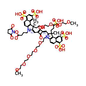 COCCOCCOCCOCCOCC[N+]1=C(/C=C2\C(=O)C(/C=C3/N(CCCC(=O)ON4C(=O)CCC4=O)c4ccc5c(S(=O)(=O)O)cc(S(=O)(=O)O)cc5c4C3(C)CCOCCOCCOCCOC)=C2O)C(C)(CCCS(=O)(=O)O)c2c1ccc1c(S(=O)(=O)O)cc(S(=O)(=O)O)cc21